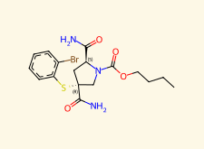 CCCCOC(=O)N1C[C@@](Sc2ccccc2Br)(C(N)=O)C[C@H]1C(N)=O